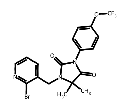 CC1(C)C(=O)N(c2ccc(OC(F)(F)F)cc2)C(=O)N1Cc1cccnc1Br